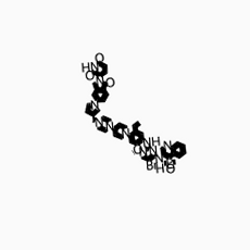 CCc1cc(Nc2ncc(Br)c(Nc3cnc4ccccc4c3P(C)(C)=O)n2)c(OC)cc1N1CCC(N2CCN(C[C@H]3CCN(c4ccc5c(c4)CN(C4CCC(=O)NC4=O)C5=O)C3)CC2)CC1